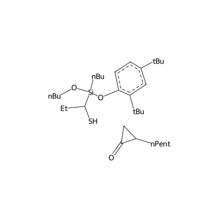 CCCCCC1CC1=O.CCCCO[Si](CCCC)(Oc1ccc(C(C)(C)C)cc1C(C)(C)C)C(S)CC